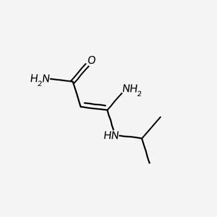 CC(C)NC(N)=CC(N)=O